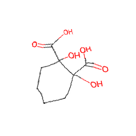 O=C(O)C1(O)CCCCC1(O)C(=O)O